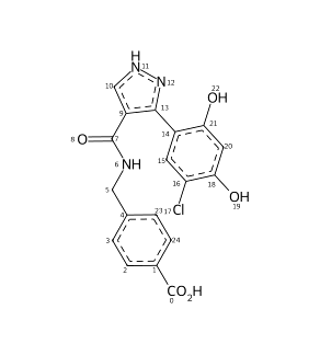 O=C(O)c1ccc(CNC(=O)c2c[nH]nc2-c2cc(Cl)c(O)cc2O)cc1